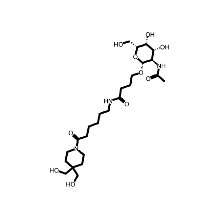 CC(=O)N[C@H]1[C@H](OCCCC(=O)NCCCCCC(=O)N2CCC(CO)(CO)CC2)O[C@H](CO)[C@H](O)[C@@H]1O